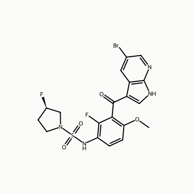 COc1ccc(NS(=O)(=O)N2CC[C@@H](F)C2)c(F)c1C(=O)c1c[nH]c2ncc(Br)cc12